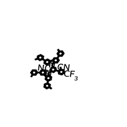 Cc1cccc(-c2ccc3c(c2)c2cc(-c4cccc(C)c4)ccc2n3-c2cc(-c3ccc(C(F)(F)F)cc3C#N)cc(-n3c4ccc(-c5cccc(C)c5)cc4c4cc(-c5cccc(C)c5)ccc43)c2C#N)c1